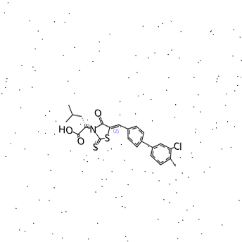 Cc1ccc(-c2ccc(/C=C3\SC(=S)N([C@@H](CC(C)C)C(=O)O)C3=O)cc2)cc1Cl